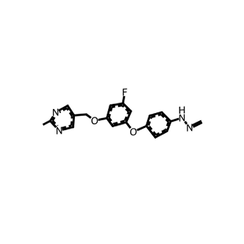 C=NNc1ccc(Oc2cc(F)cc(OCc3cnc(C)nc3)c2)cc1